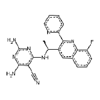 C[C@H](Nc1nc(N)nc(N)c1C#N)c1cc2cccc(F)c2nc1-c1ccccn1